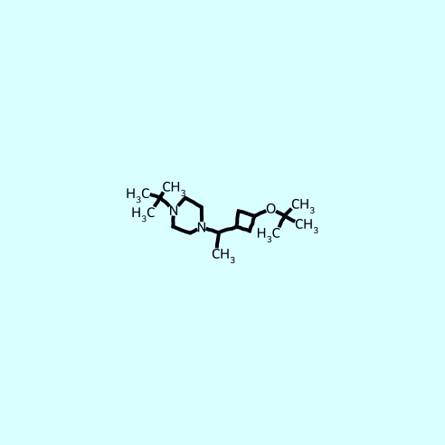 CC(C1CC(OC(C)(C)C)C1)N1CCN(C(C)(C)C)CC1